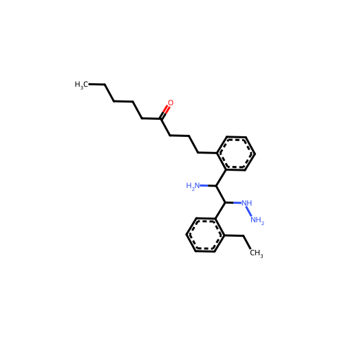 CCCCCC(=O)CCCc1ccccc1C(N)C(NN)c1ccccc1CC